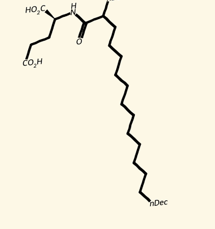 CCCCCCCCCCCCCCCCCCCCCCC(CCCCCCCCCC)C(=O)N[C@@H](CCC(=O)O)C(=O)O